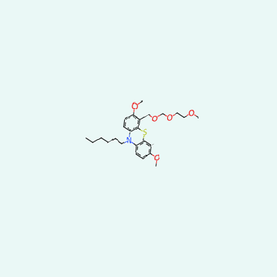 CCCCCCN1c2ccc(OC)[c]c2Sc2c1ccc(OC)c2COCOCCOC